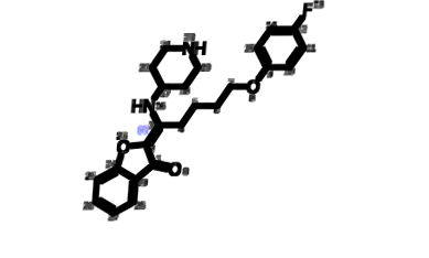 O=C1/C(=C(\CCCCOc2ccc(F)cc2)NC2CCNCC2)Oc2ccccc21